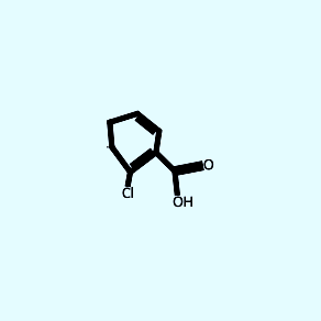 O=C(O)C1=C(Cl)[CH]CC=C1